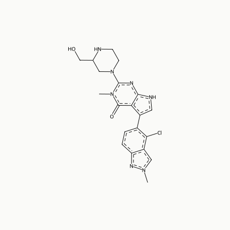 Cn1cc2c(Cl)c(-c3c[nH]c4nc(N5CCNC(CO)C5)n(C)c(=O)c34)ccc2n1